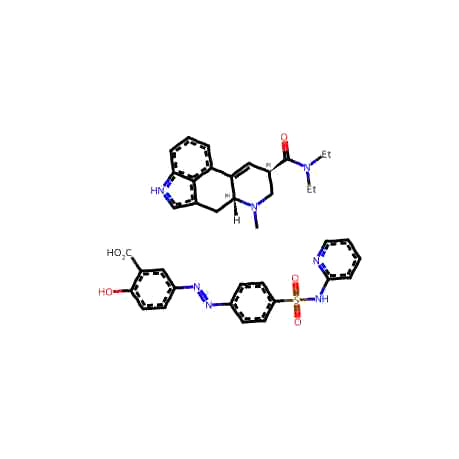 CCN(CC)C(=O)[C@@H]1C=C2c3cccc4[nH]cc(c34)C[C@H]2N(C)C1.O=C(O)c1cc(/N=N/c2ccc(S(=O)(=O)Nc3ccccn3)cc2)ccc1O